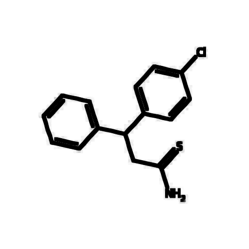 NC(=S)CC(c1ccccc1)c1ccc(Cl)cc1